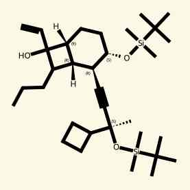 C=CC1(O)C(CCC)[C@H]2[C@H](C#C[C@@](C)(O[Si](C)(C)C(C)(C)C)C3CCC3)[C@@H](O[Si](C)(C)C(C)(C)C)CC[C@H]21